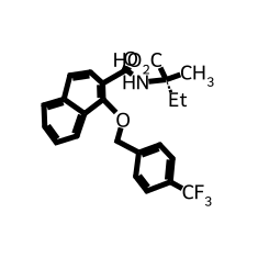 CC[C@](C)(NC(=O)c1ccc2ccccc2c1OCc1ccc(C(F)(F)F)cc1)C(=O)O